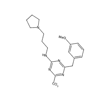 COc1cccc(Cc2nc(NCCCN3CCCC3)nc(C(Cl)(Cl)Cl)n2)c1